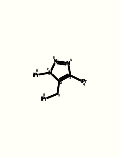 CC(C)Cc1c(C(C)C)nnn1C(C)C